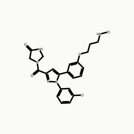 O=C1CN(C(=O)c2cc(-c3cccc(OCCCNCl)c3)n(-c3cccc(Cl)c3)n2)CN1